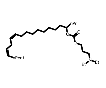 CCCCC/C=C\C/C=C\CCCCCCCCC(CCC)OC(=O)OCCCN(CC)CC